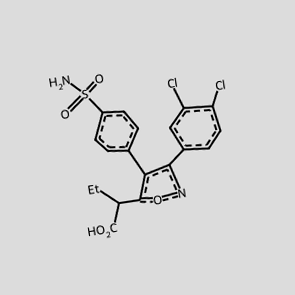 CCC(C(=O)O)c1onc(-c2ccc(Cl)c(Cl)c2)c1-c1ccc(S(N)(=O)=O)cc1